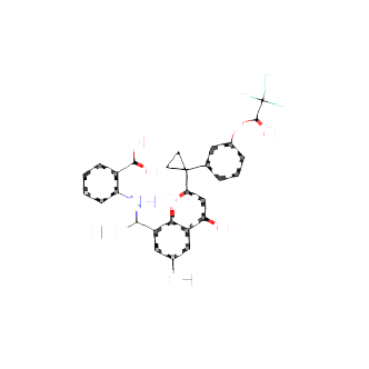 Cc1cc(C(C)Nc2ccccc2C(=O)O)c2oc(C3(c4cccc(OC(=O)C(F)(F)F)c4)CC3)cc(=O)c2c1